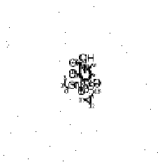 CCC.Cc1cc(S(=O)(=O)CC2CC2)c([N+](=O)[O-])c(=O)n1C(=O)O